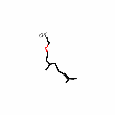 CC(C)=CCCC(C)CCOCC=O